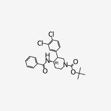 CC(C)(C)OC(=O)N1CC[C@@H](NC(=O)c2ccccc2)C(c2ccc(Cl)c(Cl)c2)C1